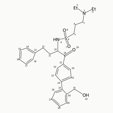 CCN(CC)CCCS(=O)(=O)NC(CCc1ccccc1)C(=O)c1ccc(-c2ccccc2CO)cc1